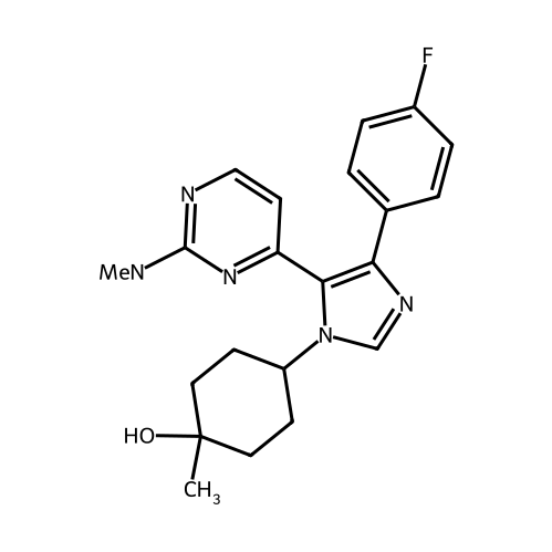 CNc1nccc(-c2c(-c3ccc(F)cc3)ncn2C2CCC(C)(O)CC2)n1